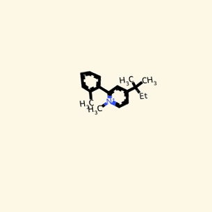 CCC(C)(C)c1cc[n+](C)c(-c2ccccc2C)c1